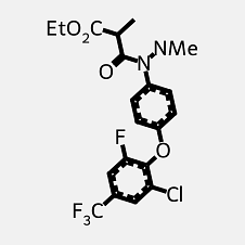 CCOC(=O)C(C)C(=O)N(NC)c1ccc(Oc2c(F)cc(C(F)(F)F)cc2Cl)cc1